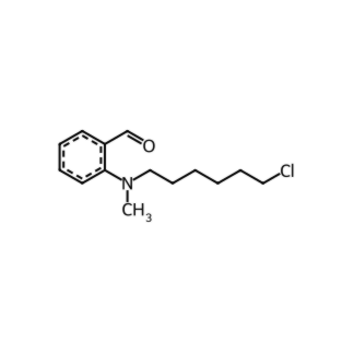 CN(CCCCCCCl)c1ccccc1C=O